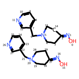 ON=C1CCN(Cc2cccnc2)CC1.ON=C1CCN(Cc2cccnc2)CC1